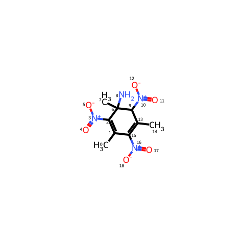 CC1=C([N+](=O)[O-])C(C)(N)C([N+](=O)[O-])C(C)=C1[N+](=O)[O-]